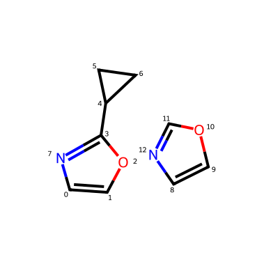 c1coc(C2CC2)n1.c1cocn1